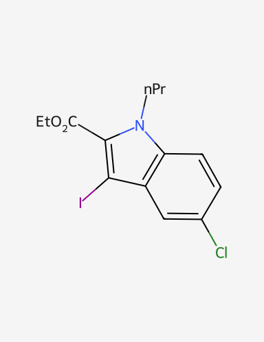 CCCn1c(C(=O)OCC)c(I)c2cc(Cl)ccc21